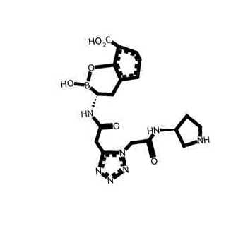 O=C(Cn1nnnc1CC(=O)N[C@H]1Cc2cccc(C(=O)O)c2OB1O)N[C@H]1CCNC1